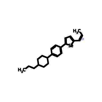 C/C=C\c1ccc(-c2ccc(C3CCC(CCC)CC3)cc2)[se]1